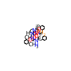 Cc1cccc(C)c1OCC(=O)N[C@@H](Cc1ccccc1)[C@H](C[C@@H](Cc1ccccc1)NC(=O)[C@H](C(C)C)N1CCCNC1=O)OC(C)P